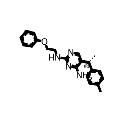 Cc1ccc([C@@H](C)c2cnc(NCCOc3ccccc3)nc2N)cc1